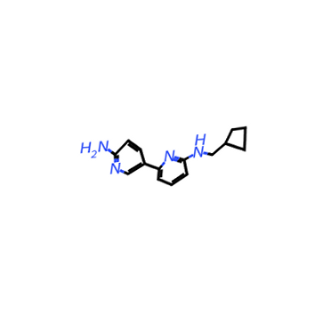 Nc1ccc(-c2cccc(NCC3CCC3)n2)cn1